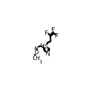 CCO/N=C\C1=CN=C[SH]1CCC(F)=C(F)F